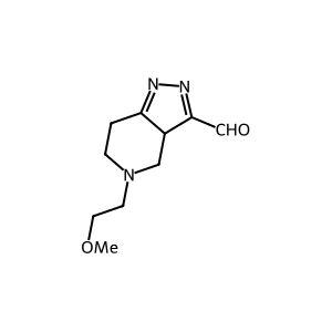 COCCN1CCC2=NN=C(C=O)C2C1